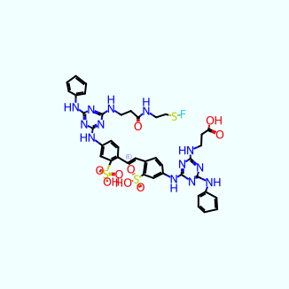 O=C(O)CCNc1nc(Nc2ccccc2)nc(Nc2ccc(/C=C/c3ccc(Nc4nc(NCCC(=O)NCCSF)nc(Nc5ccccc5)n4)cc3S(=O)(=O)O)c(S(=O)(=O)O)c2)n1